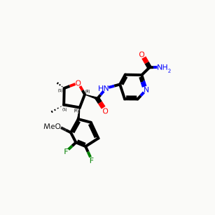 COc1c([C@H]2[C@H](C)[C@H](C)O[C@H]2C(=O)Nc2ccnc(C(N)=O)c2)ccc(F)c1F